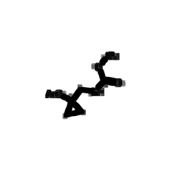 CC(=O)OC1(CNC(=O)OC(C)(C)C)CC1